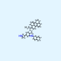 CC(CCC(CNC1C=CC2CCC=CC2C1)C1CCC(C2CCNC2)CC1)C1CCC(C2C=CCC3CCCCC32)C2C=CCCC21